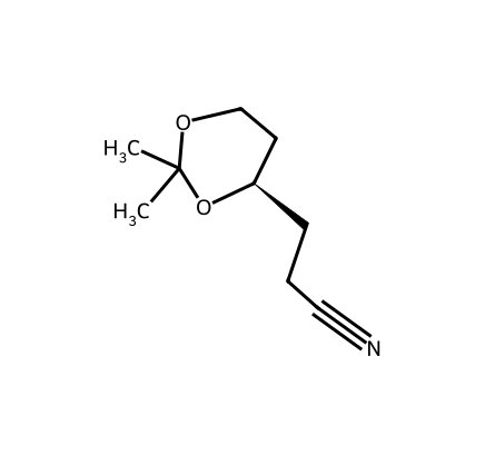 CC1(C)OCC[C@@H](CCC#N)O1